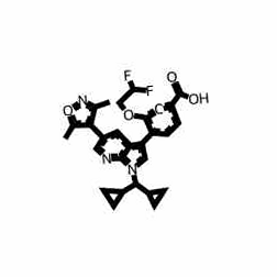 Cc1noc(C)c1-c1cnc2c(c1)c(-c1ccc(C(=O)O)cc1OCC(F)F)cn2C(C1CC1)C1CC1